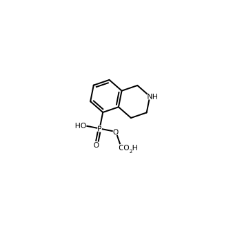 O=C(O)OP(=O)(O)c1cccc2c1CCNC2